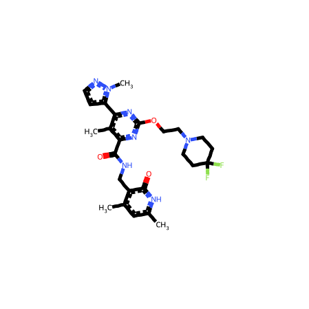 Cc1cc(C)c(CNC(=O)c2nc(OCCN3CCC(F)(F)CC3)nc(-c3ccnn3C)c2C)c(=O)[nH]1